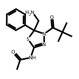 CC(=O)NC1=NN(C(=O)C(C)(C)C)C(CN)(c2ccccc2)S1